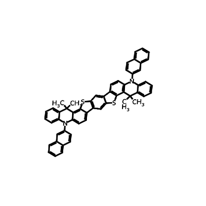 CC1(C)c2ccccc2N(c2ccc3ccccc3c2)c2ccc3c(sc4cc5c(cc43)sc3c4c(ccc35)N(c3ccc5ccccc5c3)c3ccccc3C4(C)C)c21